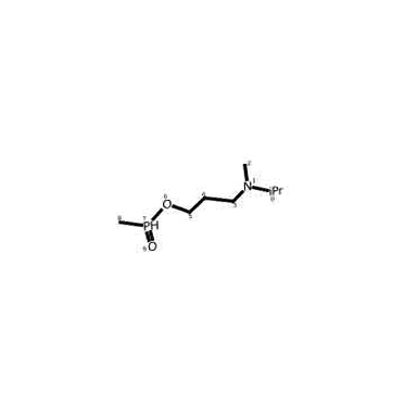 CC(C)N(C)CCCO[PH](C)=O